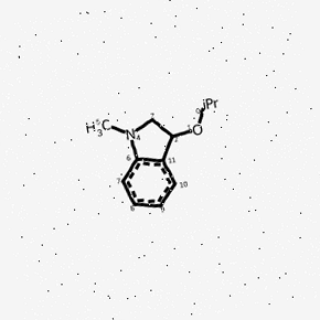 CC(C)OC1CN(C)c2ccccc21